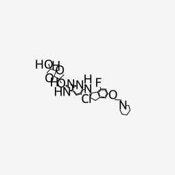 O[C@@H]1CO[C@H]2[C@@H]1OC[C@H]2Oc1nc2nc(NC3CCc4cc(OCCN5CCCCC5)cc(F)c43)c(Cl)cc2[nH]1